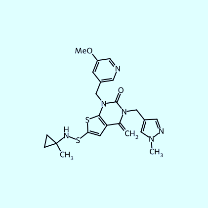 C=C1c2cc(SNC3(C)CC3)sc2N(Cc2cncc(OC)c2)C(=O)N1Cc1cnn(C)c1